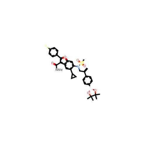 C=C(CN(c1cc2oc(-c3ccc(F)cc3)c(C(=O)NC)c2cc1C1CC1)S(C)(=O)=O)c1ccc(B2OC(C)(C)C(C)(C)O2)cc1